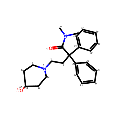 CN(C)C(=O)C(CCN1CCC(O)CC1)(c1ccccc1)c1ccccc1